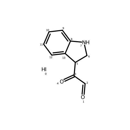 I.O=CC(=O)C1CNc2ccccc21